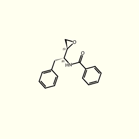 O=C(N[C@H](Cc1ccccc1)[C@H]1CO1)c1ccccc1